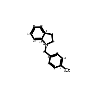 CCc1ccc(CN2CCc3ccccc32)cc1